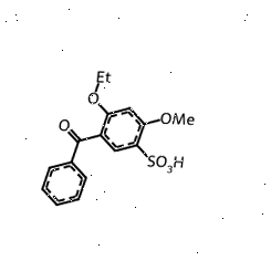 CCOc1cc(OC)c(S(=O)(=O)O)cc1C(=O)c1ccccc1